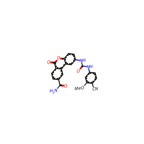 COc1cc(NC(=O)Nc2ccc3oc(=O)c4ccc(C(N)=O)cc4c3c2)ccc1C#N